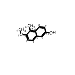 COc1ccc2cc(O)ccc2c1C